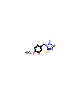 COc1ccc(CN2NNN=C2S)cc1